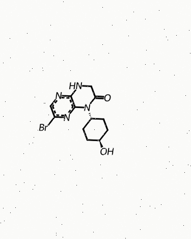 O=C1CNc2ncc(Br)nc2N1[C@H]1CC[C@H](O)CC1